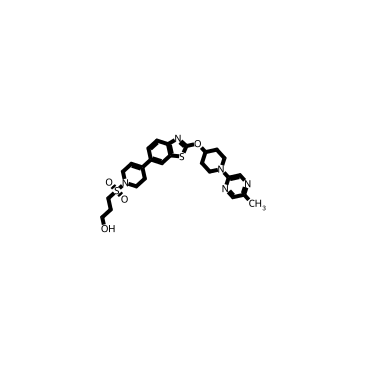 Cc1cnc(N2CCC(Oc3nc4ccc(C5=CCN(S(=O)(=O)CCCO)CC5)cc4s3)CC2)cn1